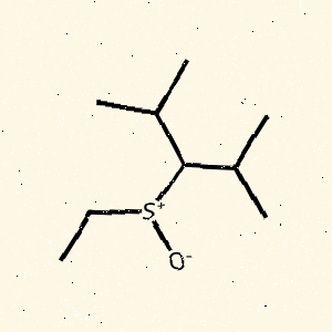 CC[S+]([O-])C(C(C)C)C(C)C